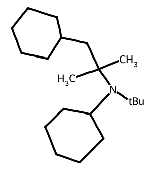 CC(C)(C)N(C1CCCCC1)C(C)(C)CC1CCCCC1